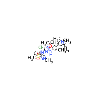 Cc1cc(Nc2ncc(Cl)c(Nc3cn(C)nc3S(=O)(=O)C(C)C)n2)c(OC(C)C)cc1C1CC(C)N(C)C(C)C1